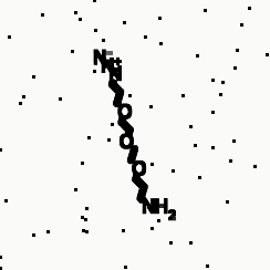 [N-]=[N+]=NCCCOCCOCCOCCCN